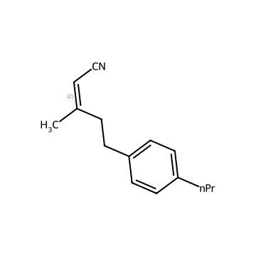 CCCc1ccc(CC/C(C)=C\C#N)cc1